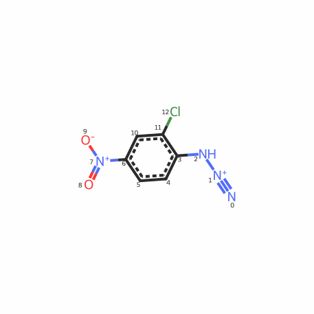 N#[N+]Nc1ccc([N+](=O)[O-])cc1Cl